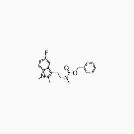 Cc1c(CCN(C)C(=O)OCc2ccccc2)c2cc(F)ccc2n1C